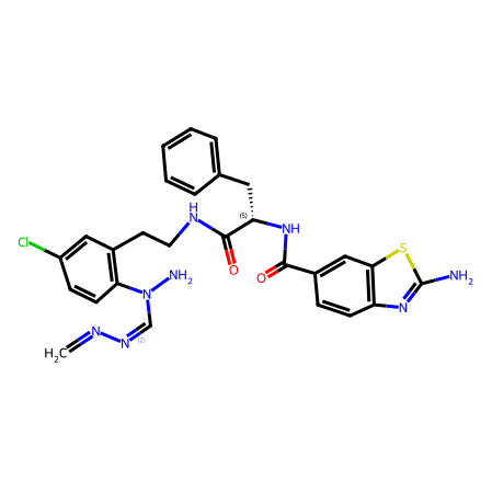 C=N/N=C\N(N)c1ccc(Cl)cc1CCNC(=O)[C@H](Cc1ccccc1)NC(=O)c1ccc2nc(N)sc2c1